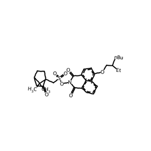 CCCCC(CC)COc1ccc2c3c(cccc13)C(=O)N(OS(=O)(=O)CC13CCC(CC1=O)C3(C)C)C2=O